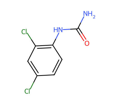 NC(=O)Nc1ccc(Cl)cc1Cl